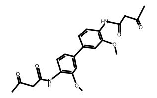 COc1cc(-c2ccc(NC(=O)CC(C)=O)c(OC)c2)ccc1NC(=O)CC(C)=O